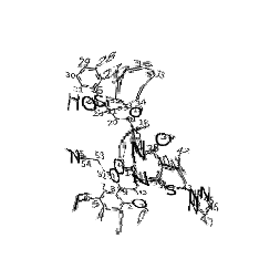 COc1ccc(F)cc1[C@H](Cn1c(=O)n(C(C)(C)C(=O)CC(C)(C)[Si](O)(c2ccccc2)c2ccccc2)c(=O)c2c(C)c(-n3nccn3)sc21)OCCC#N